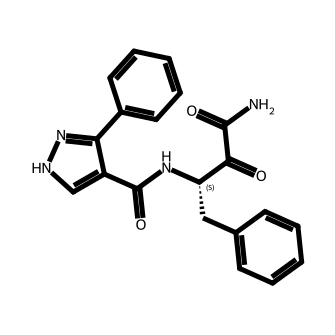 NC(=O)C(=O)[C@H](Cc1ccccc1)NC(=O)c1c[nH]nc1-c1ccccc1